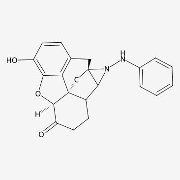 O=C1CCC2C3N(Nc4ccccc4)[C@]34Cc3ccc(O)c5c3[C@]2(C4)[C@@H]1O5